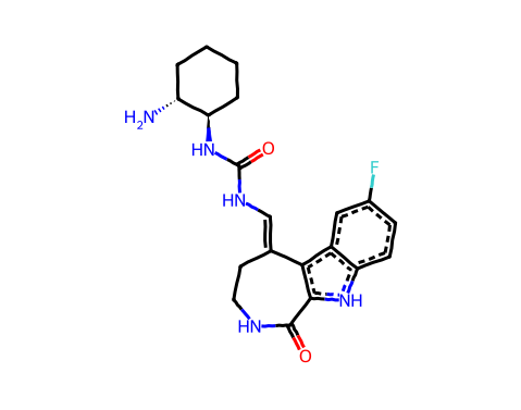 N[C@@H]1CCCC[C@H]1NC(=O)N/C=C1\CCNC(=O)c2[nH]c3ccc(F)cc3c21